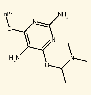 CCCOc1nc(N)nc(OC(C)N(C)C)c1N